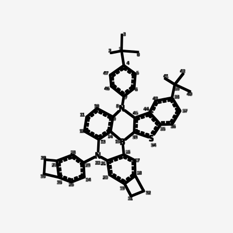 CC(C)(C)c1ccc(N2c3cccc4c3B(c3cc5c(cc3N4c3ccc4c(c3)CC4)CC5)c3sc4ccc(C(C)(C)C)cc4c32)cc1